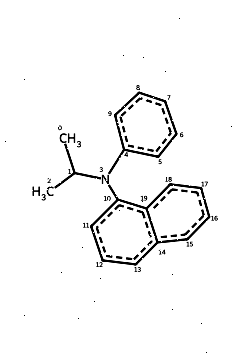 CC(C)N(c1ccccc1)c1cccc2ccccc12